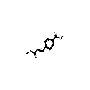 COC(=O)/C=C/c1ccc(C(=O)OC)cc1